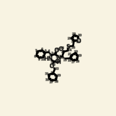 O=C(N[C@@H](Cc1ccccc1)C(=O)N[C@@H](Cc1ccccc1)C(=O)CSCc1ccco1)OCc1ccccc1